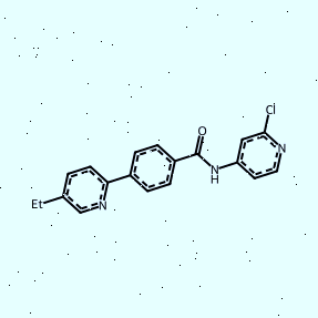 CCc1ccc(-c2ccc(C(=O)Nc3ccnc(Cl)c3)cc2)nc1